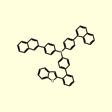 c1ccc(-c2cc3ccccc3o2)c(-c2ccc(N(c3ccc(-c4ccc5ccccc5c4)cc3)c3ccc(-c4cccc5ccccc45)cc3)cc2)c1